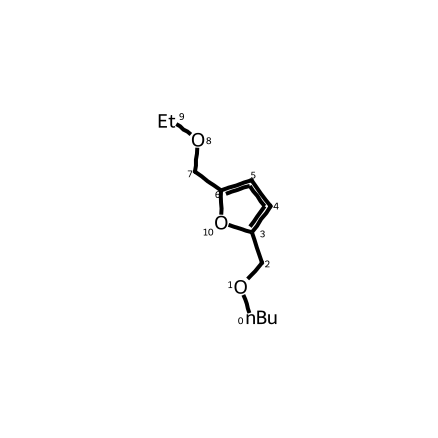 CCCCOCC1=C=C=C(COCC)O1